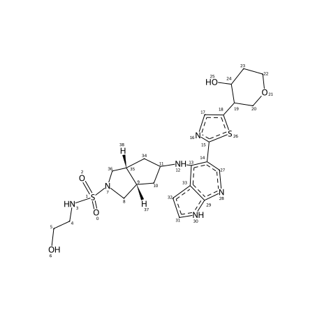 O=S(=O)(NCCO)N1C[C@H]2CC(Nc3c(-c4ncc(C5COCCC5O)s4)cnc4[nH]ccc34)C[C@H]2C1